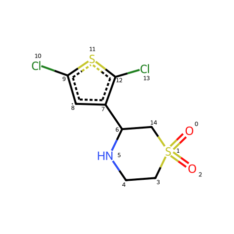 O=S1(=O)CCNC(c2[c]c(Cl)sc2Cl)C1